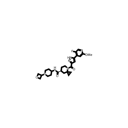 COc1cc(-c2cc(C(=O)N3CC[C@H](C(=O)NC4CCN(C5COC5)CC4)CC34CC4)n[nH]2)c(F)cn1